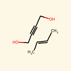 CC=CC.OCC#CCO